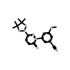 COc1cc(C#N)cc(-n2nc(B3OC(C)(C)C(C)(C)O3)ccc2=O)c1